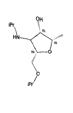 CC(C)NC1[C@@H](COC(C)C)O[C@@H](C)[C@H]1O